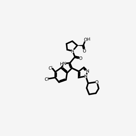 O=C(O)[C@@H]1CCCN1C(=O)c1[nH]c2c(Cl)c(Cl)ccc2c1-c1cnn(C2CCCCO2)c1